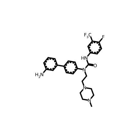 CN1CCN(CCN(C(=O)Nc2ccc(F)c(C(F)(F)F)c2)c2ccc(-c3cccc(N)c3)cc2)CC1